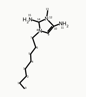 CCCCCCCCN1C=C(N)N(C)C1N